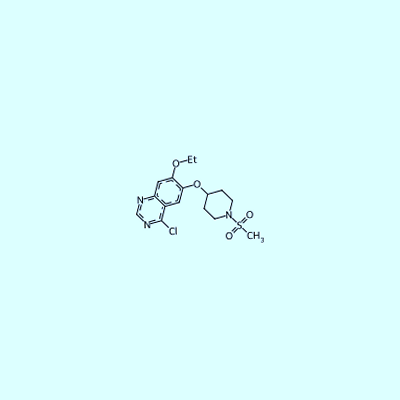 CCOc1cc2ncnc(Cl)c2cc1OC1CCN(S(C)(=O)=O)CC1